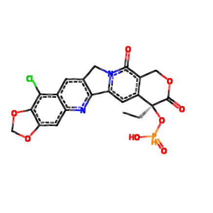 CC[C@@]1(O[PH](=O)O)C(=O)OCc2c1cc1n(c2=O)Cc2cc3c(Cl)c4c(cc3nc2-1)OCO4